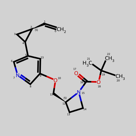 C=C[C@@H]1CC1c1cncc(OC[C@@H]2CCN2C(=O)OC(C)(C)C)c1